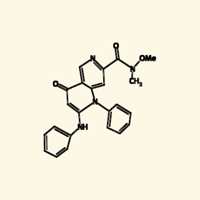 CON(C)C(=O)c1cc2c(cn1)c(=O)cc(Nc1ccccc1)n2-c1ccccc1